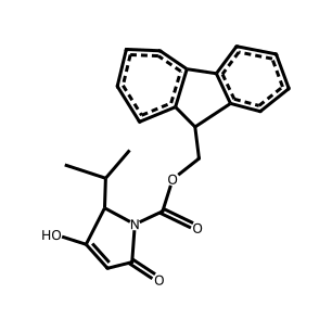 CC(C)C1C(O)=CC(=O)N1C(=O)OCC1c2ccccc2-c2ccccc21